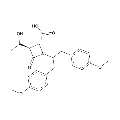 COc1ccc(CC(Cc2ccc(OC)cc2)N2C(=O)[C@@H](C(C)O)[C@@H]2C(=O)O)cc1